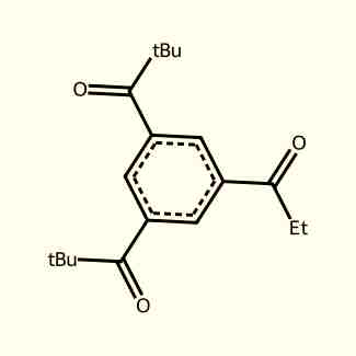 CCC(=O)c1cc(C(=O)C(C)(C)C)cc(C(=O)C(C)(C)C)c1